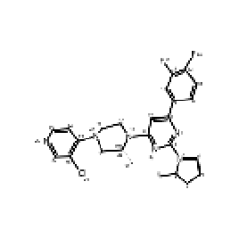 CC1CCCN1c1nc(-c2ccc(F)c(F)c2)cc(N2CCN(c3ccncc3Cl)C[C@H]2C)n1